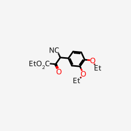 CCOC(=O)C(=O)C(C#N)c1ccc(OCC)c(OCC)c1